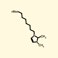 CCCCCCCCCCCCCCCCN1C=CN(C)C1C